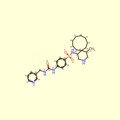 CC1CNCC(NS(=O)(=O)c2ccc(NC(=O)NCc3cccnc3)cc2)C12CCCCCCCC2